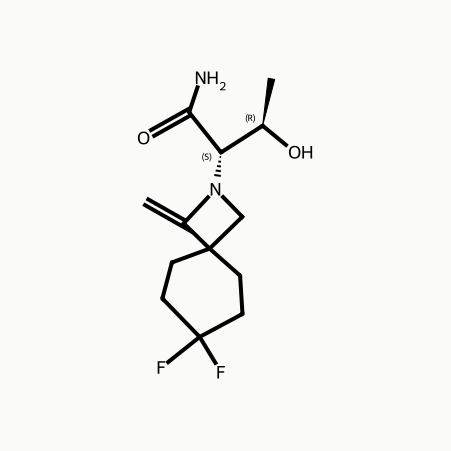 C=C1N([C@H](C(N)=O)[C@@H](C)O)CC12CCC(F)(F)CC2